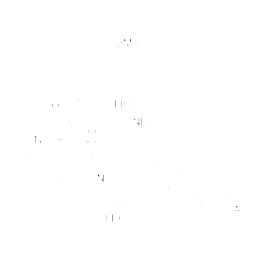 COc1ccc(S(=O)(=O)c2ncccc2CNc2c(C)cc(-c3ccc(C(C)=O)s3)cc2C(=O)NO)cc1